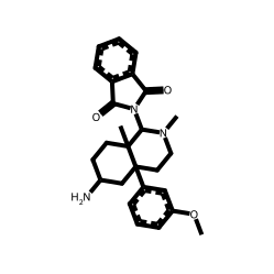 COc1cccc(C23CCN(C)C(N4C(=O)c5ccccc5C4=O)C2(C)CCC(N)C3)c1